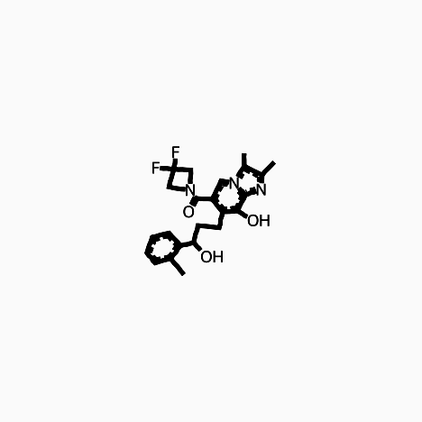 Cc1ccccc1C(O)CCc1c(C(=O)N2CC(F)(F)C2)cn2c(C)c(C)nc2c1O